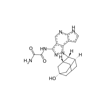 NC(=O)C(=O)Nc1nn([C@H]2[C@@H]3CC4C[C@H]2C[C@@](O)(C4)C3)c2c1cnc1[nH]ccc12